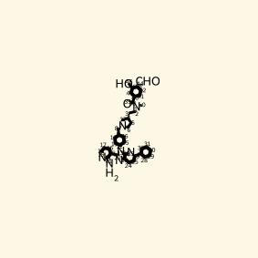 CN(CC[C@H]1CCN(Cc2ccc(-n3c(-c4cccnc4N)nc4ccc(-c5ccccc5)nc43)cc2)C1)C(=O)c1ccc(C=O)c(O)c1